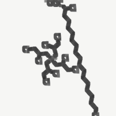 ClCC(Cl)C[N+](CC(Cl)CCl)(CC(Cl)CCl)CC(Cl)CCl.O=C([O-])C(Cl)CCCCCCCCCCCCCCCCCl